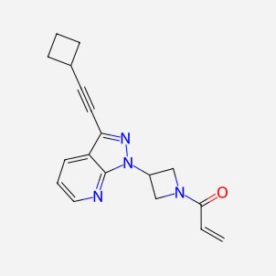 C=CC(=O)N1CC(n2nc(C#CC3CCC3)c3cccnc32)C1